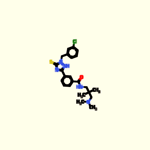 CN(C)CC(C)(C)CNC(=O)c1cccc(-c2nc(=S)n(Cc3cccc(Cl)c3)[nH]2)c1